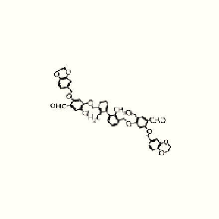 Cc1c(COc2cc(OCc3ccc4c(c3)OCCO4)c(C=O)cc2Cl)cccc1-c1cccc(COc2cc(OCc3ccc4c(c3)OCCO4)c(C=O)cc2Cl)c1C